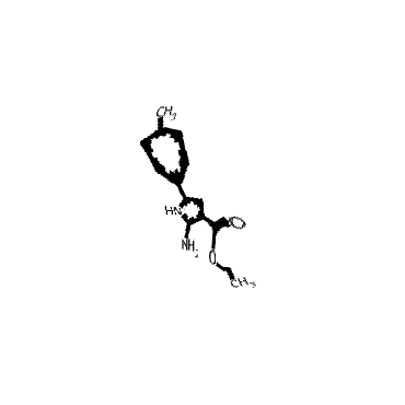 CCOC(=O)c1cc(-c2ccc(C)cc2)[nH]c1N